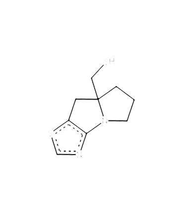 SCC12CCCN1c1ncsc1C2